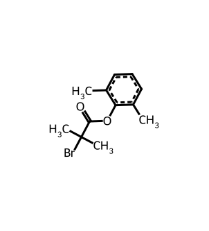 Cc1cccc(C)c1OC(=O)C(C)(C)Br